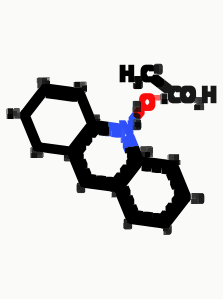 CC(=O)O.[O-][n+]1c2c(cc3ccccc31)CCC=C2